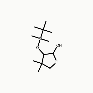 CC1(C)COC(O)C1O[Si](C)(C)C(C)(C)C